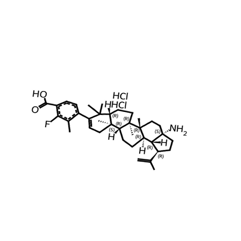 C=C(C)[C@@H]1CC[C@]2(N)CC[C@]3(C)[C@H](CC[C@@H]4[C@@]5(C)CC=C(c6ccc(C(=O)O)c(F)c6C)C(C)(C)[C@@H]5CC[C@]43C)[C@@H]12.Cl.Cl